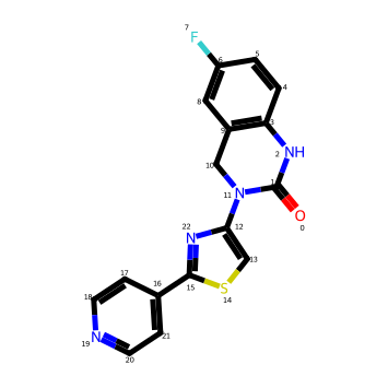 O=C1Nc2ccc(F)cc2CN1c1csc(-c2ccncc2)n1